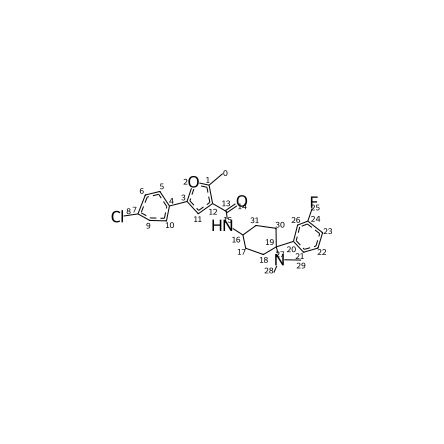 Cc1oc(-c2ccc(Cl)cc2)cc1C(=O)NC1CCC(c2cccc(F)c2)(N(C)C)CC1